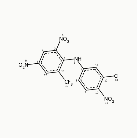 O=[N+]([O-])c1cc([N+](=O)[O-])c(Nc2ccc([N+](=O)[O-])c(Cl)c2)c(C(F)(F)F)c1